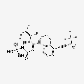 O=c1nc(N2CCCc3c2ccnc3C#CC2(C(F)(F)F)CC2)c2c(F)c(F)ccc2n1C(O)(O)O